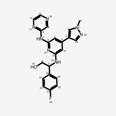 Cn1cc(-c2cc(Nc3cnccn3)nc(NC(CO)c3ccc(F)cc3)c2)cn1